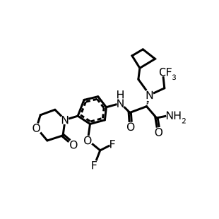 NC(=O)[C@H](C(=O)Nc1ccc(N2CCOCC2=O)c(OC(F)F)c1)N(CC1CCC1)CC(F)(F)F